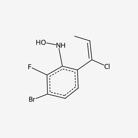 C/C=C(/Cl)c1ccc(Br)c(F)c1NO